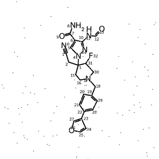 N#CCC1(n2cc(C(N)=O)c(NC=O)n2)CCN(Cc2ccc(-c3ccoc3)cc2)CC1F